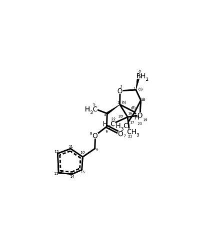 B[C@@H]1O[C@]2(C(C)C(=O)OCc3ccccc3)[C@H](C)C1OC2(C)C